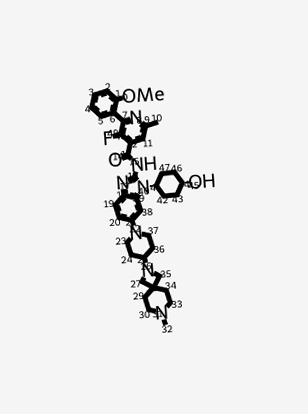 COc1ccccc1-c1nc(C)cc(C(=O)Nc2nc3ccc(N4CCC(N5CC6(CCN(C)CC6)C5)CC4)cc3n2[C@H]2CC[C@@H](O)CC2)c1F